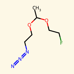 CC(OCCF)OCCN=[N+]=[N-]